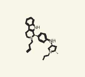 C=CCCN1CCc2c([nH]c3ccccc23)[C@H]1c1ccc(N[C@H]2C[C@H](C)N(CCC)C2)cc1